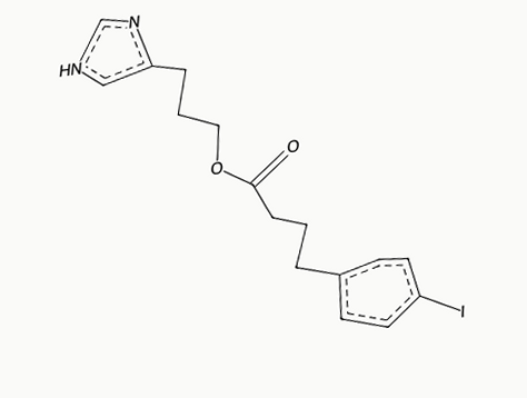 O=C(CCCc1ccc(I)cc1)OCCCc1c[nH]cn1